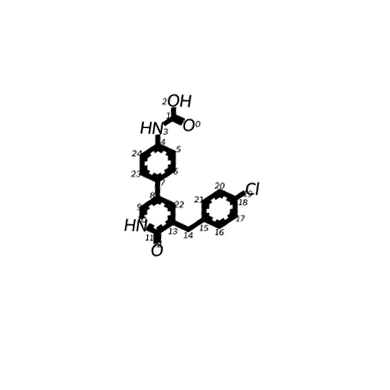 O=C(O)Nc1ccc(-c2c[nH]c(=O)c(Cc3ccc(Cl)cc3)c2)cc1